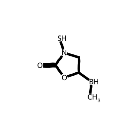 CBC1CN(S)C(=O)O1